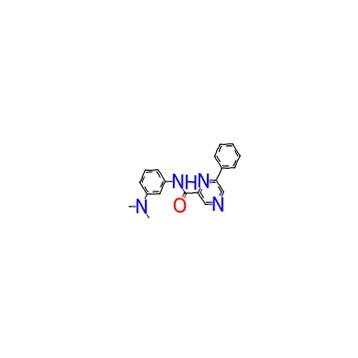 CN(C)c1cccc(NC(=O)c2cncc(-c3ccccc3)n2)c1